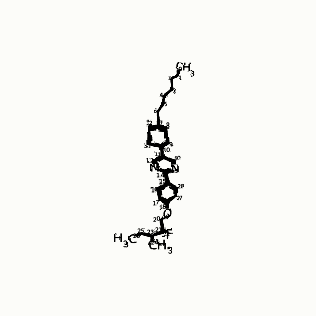 CCCCCCCc1ccc(-c2cnc(-c3ccc(OCC(F)C(C)CC)cc3)nc2)cc1